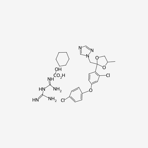 C1CCCCC1.CC1COC(Cn2cncn2)(c2ccc(Oc3ccc(Cl)cc3)cc2Cl)O1.N=C(N)NC(=N)N.O=C(O)O